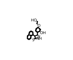 OCCOc1ccc(C2=NNC(=S)C2c2cccc3ccccc23)c(O)c1